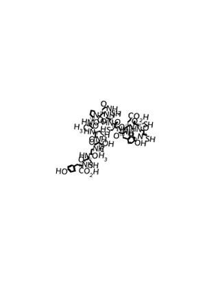 C[C@H](NC(=O)[C@@H]1CCCN1C(=O)[C@H](CC(N)=O)NC(=O)[C@H](CS)NC(=O)[C@H](CS)NC(=O)[C@H](Cc1ccc(O)cc1)NC(=O)[C@H](CCC(=O)O)NC(=O)[C@H](CS)NC(=O)[C@@H](N)CS)C(=O)N[C@@H](CS)C(=O)N[C@H](C(=O)NCC(=O)N[C@@H](CS)C(=O)N[C@@H](Cc1ccc(O)cc1)C(=O)O)[C@@H](C)O